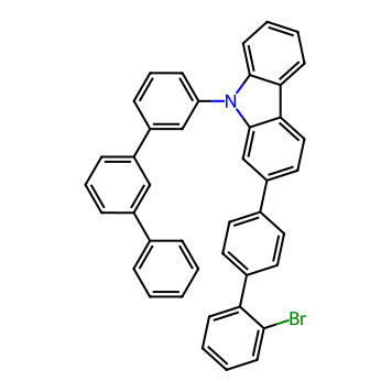 Brc1ccccc1-c1ccc(-c2ccc3c4ccccc4n(-c4cccc(-c5cccc(-c6ccccc6)c5)c4)c3c2)cc1